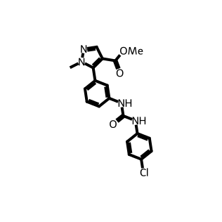 COC(=O)c1cnn(C)c1-c1cccc(NC(=O)Nc2ccc(Cl)cc2)c1